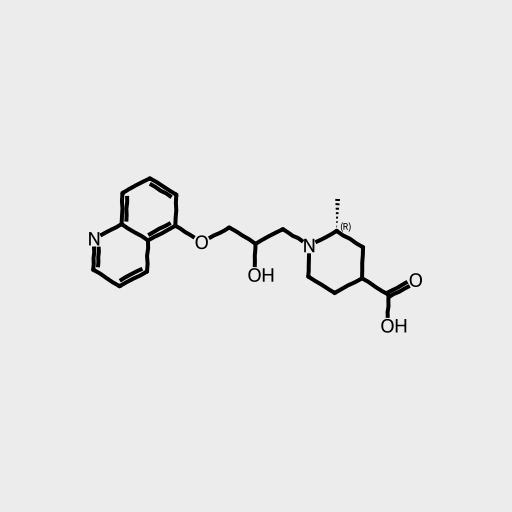 C[C@@H]1CC(C(=O)O)CCN1CC(O)COc1cccc2ncccc12